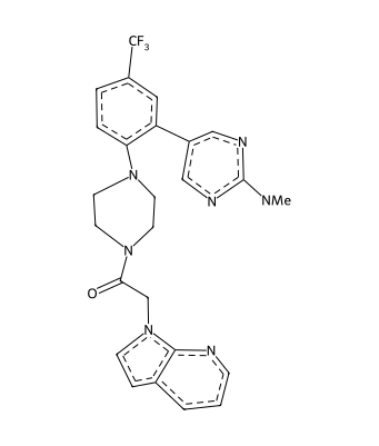 CNc1ncc(-c2cc(C(F)(F)F)ccc2N2CCN(C(=O)Cn3ccc4cccnc43)CC2)cn1